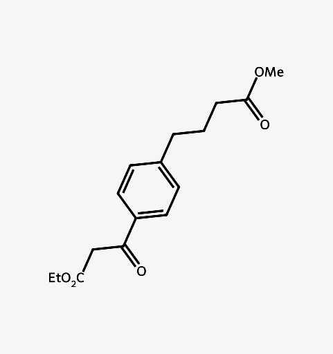 CCOC(=O)CC(=O)c1ccc(CCCC(=O)OC)cc1